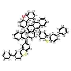 c1ccc(-c2ccc3sc4ccc(-c5c6ccccc6c(-c6ccc7oc8cccc(-c9c%10ccccc%10c(-c%10ccc%11sc%12ccc(-c%13ccccc%13)cc%12c%11c%10)c%10ccccc9%10)c8c7c6)c6ccccc56)cc4c3c2)cc1